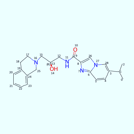 CC(C)c1ccc2nc(C(=O)NC[C@@H](O)CN3CCc4ccccc4C3)cn2c1